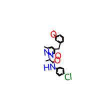 COc1cccc(Cc2cc(C)nn(C(C)C(=O)Nc3ccc(Cl)cc3)c2=O)c1